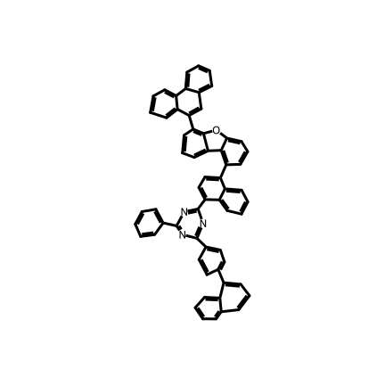 c1ccc(-c2nc(-c3ccc(-c4cccc5ccccc45)cc3)nc(-c3ccc(-c4cccc5oc6c(-c7cc8ccccc8c8ccccc78)cccc6c45)c4ccccc34)n2)cc1